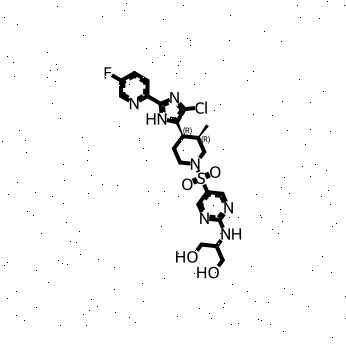 C[C@H]1CN(S(=O)(=O)c2cnc(NC(CO)CO)nc2)CC[C@H]1c1[nH]c(-c2ccc(F)cn2)nc1Cl